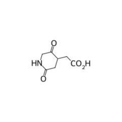 O=C(O)CC1CC(=O)NCC1=O